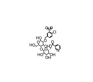 O=C(OC[C@H]1O[C@H](O[C@H]2[C@H](O)[C@@H](OCc3ccc(Cl)c([N+](=O)[O-])c3)[C@H](O)O[C@@H]2CO)[C@H](O)[C@@H](O)[C@@H]1O)c1cccnc1